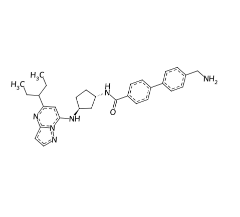 CCC(CC)c1cc(N[C@H]2CC[C@H](NC(=O)c3ccc(-c4ccc(CN)cc4)cc3)C2)n2nccc2n1